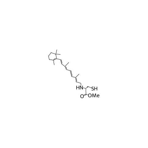 COC(=O)[C@H](CS)NC/C=C(C)/C=C/C=C(C)/C=C/C1=C(C)CCCC1(C)C